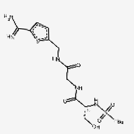 CCCCS(=O)(=O)N[C@H](CO)C(=O)NCC(=O)NCc1ccc(C(=N)N)s1